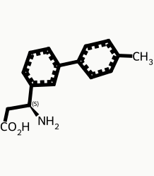 Cc1ccc(-c2cccc([C@@H](N)CC(=O)O)c2)cc1